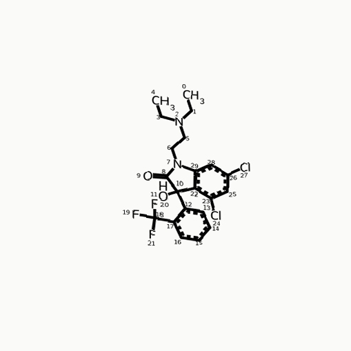 CCN(CC)CCN1C(=O)C(O)(c2ccccc2C(F)(F)F)c2c(Cl)cc(Cl)cc21